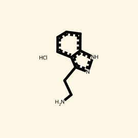 Cl.NCCc1n[nH]c2ccccc12